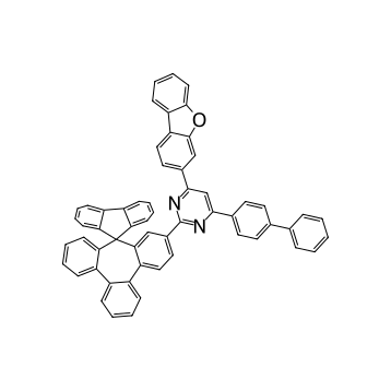 c1ccc(-c2ccc(-c3cc(-c4ccc5c(c4)oc4ccccc45)nc(-c4ccc5c(c4)C4(c6ccccc6-c6ccccc6-5)c5ccccc5-c5ccccc54)n3)cc2)cc1